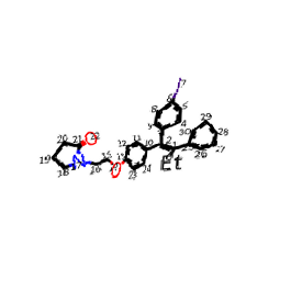 CC/C(=C(/c1ccc(I)cc1)c1ccc(OCCN2CCCC2=O)cc1)c1ccccc1